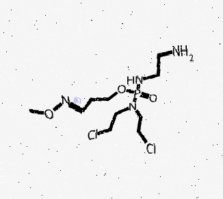 CO/N=C/CCOP(=O)(NCCN)N(CCCl)CCCl